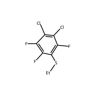 CCSc1c(F)c(F)c(Cl)c(Cl)c1F